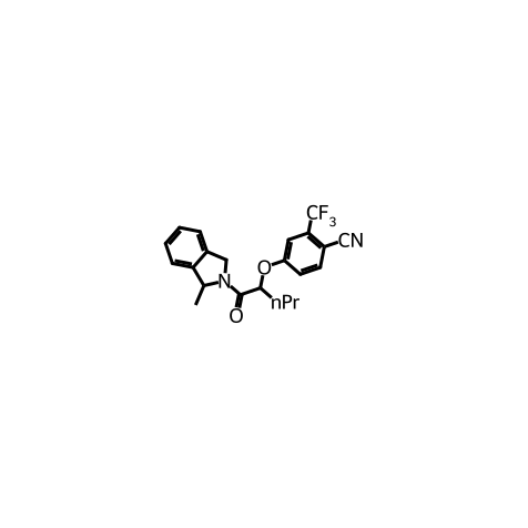 CCCC(Oc1ccc(C#N)c(C(F)(F)F)c1)C(=O)N1Cc2ccccc2C1C